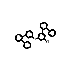 Clc1cc(Sc2cccc(-c3ccccc3-c3ccccc3)c2)cc(-c2ccccc2-c2ccccc2)c1